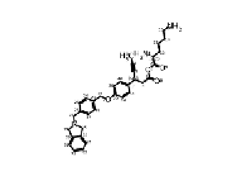 CC#C[C@@H](CC(=O)OC(=O)[C@@H](N)CCCCN)c1ccc(OCc2ccc(CN3Cc4ccccc4C3)cc2)cc1